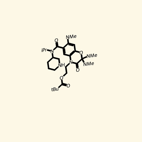 CNc1cc2c(cc1C(=O)N(C(C)C)C1CCCNC1)N(CCOC(=O)C(C)(C)C)C(=O)C(NC)(NC)O2